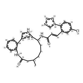 CC1CCCC(NC(=O)C=Cc2cc(Cl)ccc2-n2cnnn2)c2nc(c[nH]2)-c2ccccc2NC(=O)C1